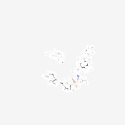 O=C(O)O.O=S(=O)(N[C@H]1C[C@@H]1c1cccc(NCc2cccnc2)c1)c1ccc(-c2ccc(Cl)cc2)s1